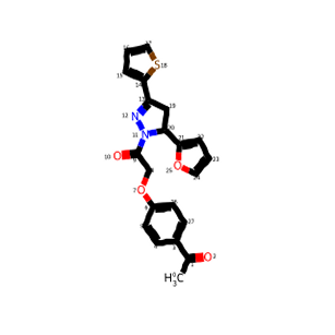 CC(=O)c1ccc(OCC(=O)N2N=C(c3cccs3)CC2c2ccco2)cc1